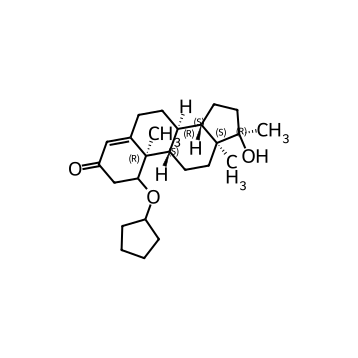 C[C@]12CC[C@H]3[C@@H](CCC4=CC(=O)CC(OC5CCCC5)[C@@]43C)[C@@H]1CC[C@@]2(C)O